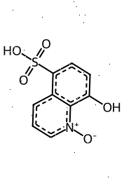 O=S(=O)(O)c1ccc(O)c2c1ccc[n+]2[O-]